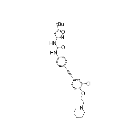 CC(C)(C)c1cc(NC(=O)Nc2ccc(C#Cc3ccc(OCCN4CCCCC4)c(Cl)c3)cc2)no1